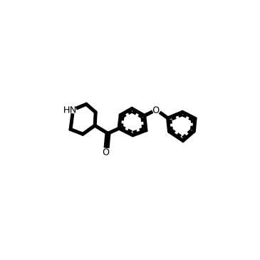 O=C(c1ccc(Oc2ccccc2)cc1)C1CCNCC1